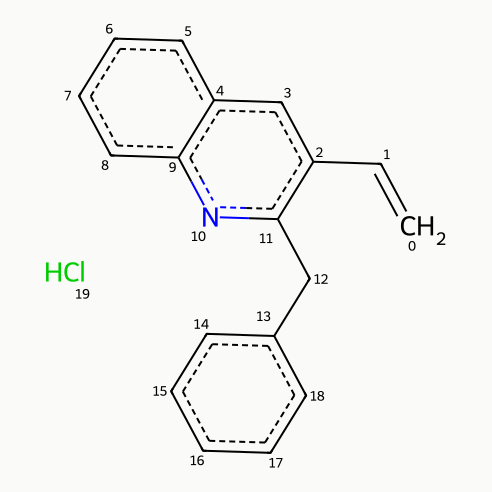 C=Cc1cc2ccccc2nc1Cc1ccccc1.Cl